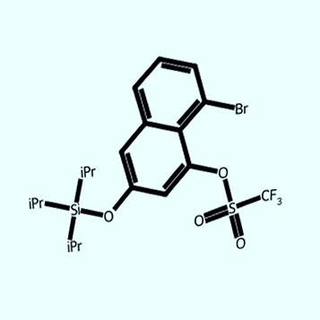 CC(C)[Si](Oc1cc(OS(=O)(=O)C(F)(F)F)c2c(Br)cccc2c1)(C(C)C)C(C)C